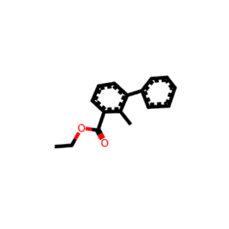 CCOC(=O)c1cccc(-c2ccccc2)c1C